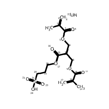 C=C(C)C(=O)OCC(COC(=O)C(=C)C)C(=O)OCCCS(=O)(=O)O.[LiH]